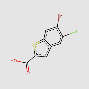 O=C(O)c1cc2cc(F)c(Br)cc2s1